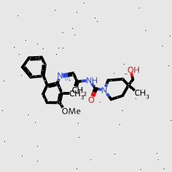 C=C(/C=N\C1=C(c2ccccc2)CCC(OC)=C1C)NC(=O)N1CCC(C)(CO)CC1